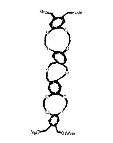 COCc1cc2c(cc1COC)OCCOc1cc3c(cc1OCCO2)COCc1cc2c(cc1COC3)OCCOc1cc(COC)c(COC)cc1OCCO2